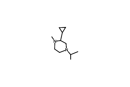 CC(C)N1CCN(C)C(C2CC2)C1